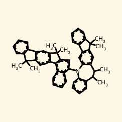 CC1c2ccccc2N(c2cc3c(c4ccccc24)-c2cc4c(cc2C3(C)C)-c2ccccc2C4(C)C)c2cc3c(cc2C1C)C(C)(C)c1ccccc1-3